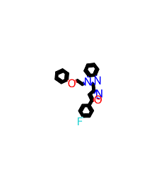 Fc1ccc(-c2cc(-c3nc4ccccc4n3CCOc3ccccc3)no2)cc1